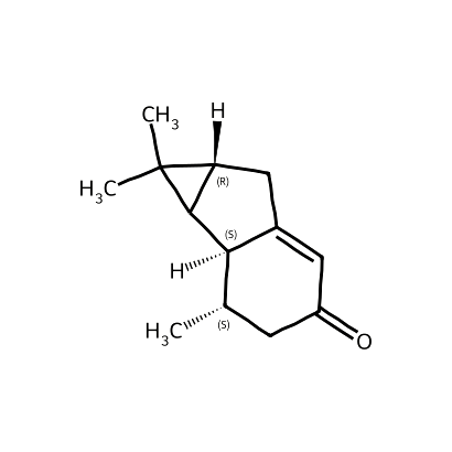 C[C@H]1CC(=O)C=C2C[C@@H]3C([C@@H]21)C3(C)C